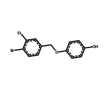 CCc1cc(COc2ccc(O)cc2)ccc1Br